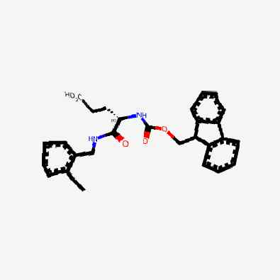 Cc1ccccc1CNC(=O)[C@H](CCC(=O)O)NC(=O)OCC1c2ccccc2-c2ccccc21